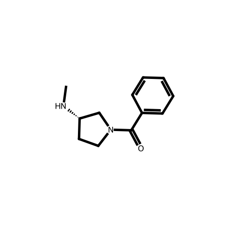 CN[C@H]1CCN(C(=O)c2ccccc2)C1